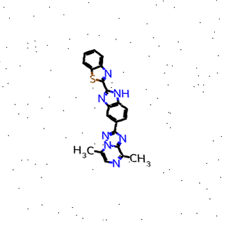 Cc1ncc(C)n2nc(-c3ccc4[nH]c(-c5nc6ccccc6s5)nc4c3)nc12